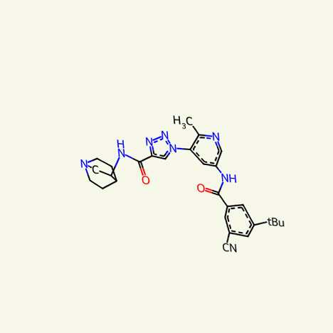 Cc1ncc(NC(=O)c2cc(C#N)cc(C(C)(C)C)c2)cc1-n1cc(C(=O)NC2CN3CCC2CC3)nn1